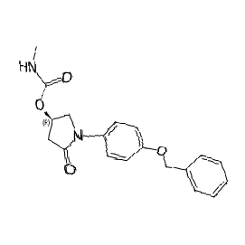 CNC(=O)O[C@@H]1CC(=O)N(c2ccc(OCc3ccccc3)cc2)C1